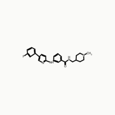 CN1CCC(CNC(=O)c2cccc(Nc3ccc(-c4cccc(F)c4)cn3)c2)CC1